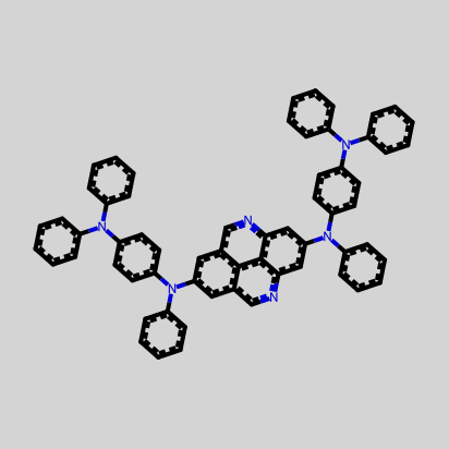 c1ccc(N(c2ccccc2)c2ccc(N(c3ccccc3)c3cc4cnc5cc(N(c6ccccc6)c6ccc(N(c7ccccc7)c7ccccc7)cc6)cc6ncc(c3)c4c56)cc2)cc1